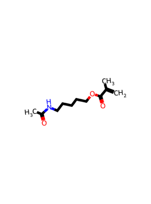 C=C(C)C(=O)OCCCCCNC(C)=O